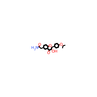 CC(C)Oc1ccc(-c2oc3ccc(CC(N)=O)cc3c(=O)c2O)cc1